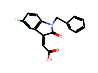 O=C(O)C=C1C(=O)N(Cc2ccccc2)c2ccc(F)cc21